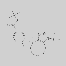 CC(C)(C)OC(=O)c1ccc(CC2CCCCc3c(nnn3C(C)(C)C)C2(F)F)cc1